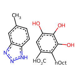 CCCCCCCCc1c(C(=O)O)cc(O)c(O)c1O.Cc1ccc2[nH]nnc2c1